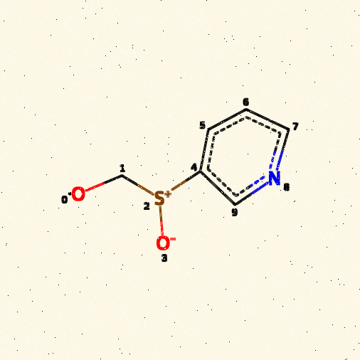 [O]C[S+]([O-])c1cccnc1